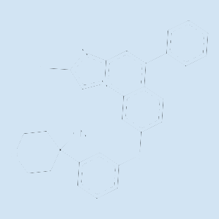 N#CC1(c2cccc(Sc3ccc4c(-c5ccccc5)cc5nc(Cl)cn5c4c3)c2)CCOCC1